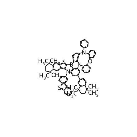 CC1(C)CCC(C)(C)c2cc(-c3cc4c5c(c3)N(c3ccc6sc7ccccc7c6c3)c3c(sc6cc7c(cc36)C(C)(C)CCC7(C)C)B5c3ccc5cc3N4c3ccccc3Oc3ccccc3N5c3ccccc3)ccc21